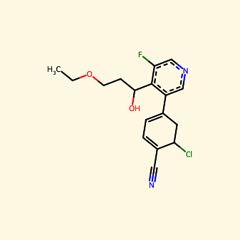 CCOCCC(O)c1c(F)cncc1C1=CC=C(C#N)C(Cl)C1